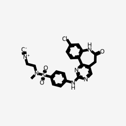 [C-]#[N+]CCN(C)S(=O)(=O)c1ccc(Nc2ncc3c(n2)-c2ccc(Cl)cc2NC(=O)C3)cc1